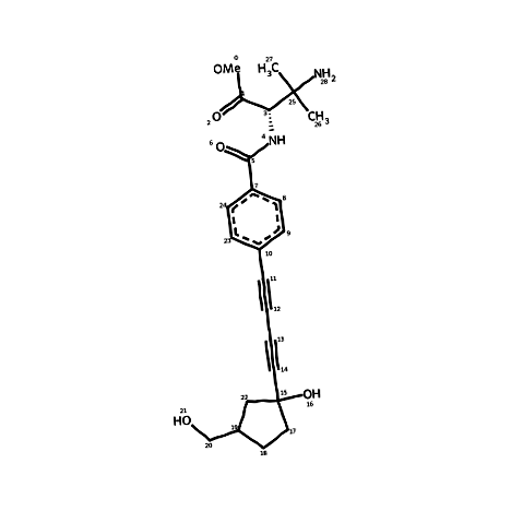 COC(=O)[C@@H](NC(=O)c1ccc(C#CC#CC2(O)CCC(CO)C2)cc1)C(C)(C)N